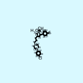 CC(C)(C)n1nc(CCCN2CCN(c3ccc(Cl)cc3)CC2)cc1-c1ccc(F)cc1